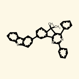 CC1(C)c2ccc(-c3ccc4sc5ccccc5c4c3)cc2-c2nc(-c3ccccc3)nc(-c3ccccc3)c21